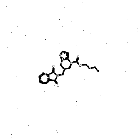 CCCCOC(=O)N1CC(CN2C(=O)c3ccccc3C2=O)Cn2nccc21